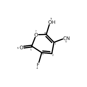 N#Cc1cc(F)c(=O)oc1O